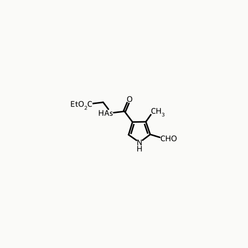 CCOC(=O)C[AsH]C(=O)c1c[nH]c(C=O)c1C